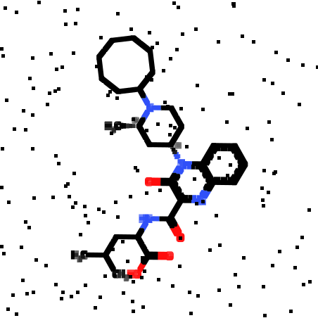 CC(C)CC(NC(=O)c1nc2ccccc2n([C@H]2CCN(C3CCCCCCC3)[C@@H](C)C2)c1=O)C(=O)O